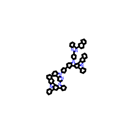 c1ccc2cc(-c3nc(-c4ccc(-n5c6ccc(-c7ccc(-n8c9ccccc9c9cc(-n%10c%11ccccc%11c%11cc%12c%13ccccc%13n%13c%14cc%15ccccc%15cc%14c(c%11%10)c%12%13)cnc98)cc7)cc6c6cc7c8ccccc8n8c9cc%10ccccc%10cc9c(c65)c78)cc4)nc4ccccc34)ccc2c1